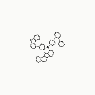 c1ccc(-c2ccccc2-c2ccc(N(c3ccc(-c4cccc5oc6ccccc6c45)cc3)c3cccc4c3oc3c5ccccc5ccc43)cc2)cc1